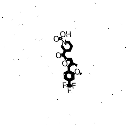 COc1cc(C(F)(F)F)ccc1-c1oc(C(=O)C2CCCN(C(=O)O)C2)cc1C